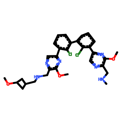 CNCc1ncc(-c2cccc(-c3cccc(-c4cnc(CNCC5CC(OC)C5)c(OC)n4)c3Cl)c2Cl)nc1OC